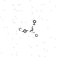 CC(C)(NC(=O)c1cc2c(o1)c(NC(=O)c1ccc(CN3CCCC3)cc1)nn2C(=O)OC1CCCC1)c1ccccc1